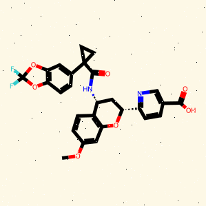 COc1ccc2c(c1)O[C@@H](c1ccc(C(=O)O)cn1)C[C@H]2NC(=O)C1(c2ccc3c(c2)OC(F)(F)O3)CC1